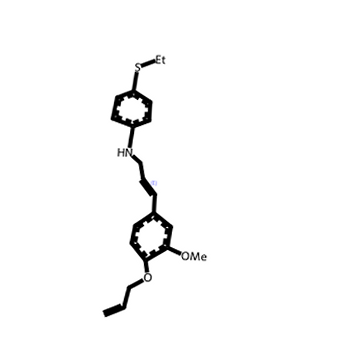 C=CCOc1ccc(/C=C/CNc2ccc(SCC)cc2)cc1OC